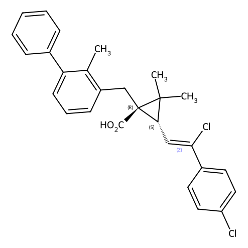 Cc1c(C[C@@]2(C(=O)O)[C@@H](/C=C(\Cl)c3ccc(Cl)cc3)C2(C)C)cccc1-c1ccccc1